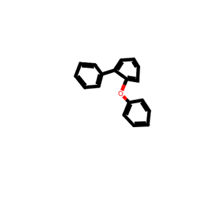 [c]1ccc(Oc2ccccc2-c2[c]cccc2)cc1